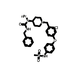 CCCN(C(=O)NCc1ccccc1)C1CCN(Cc2ccc(Oc3ccc(NS(C)(=O)=O)cc3)cc2)CC1.Cl